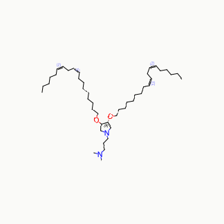 CCCCC/C=C\C/C=C\CCCCCCCCOC1CN(CCCN(C)C)C[C@H]1OCCCCCCCC/C=C\C/C=C\CCCCC